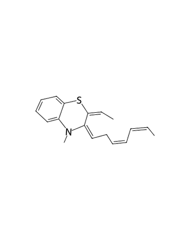 C/C=C\C=C/C/C=C1\C(=C/C)Sc2ccccc2N1C